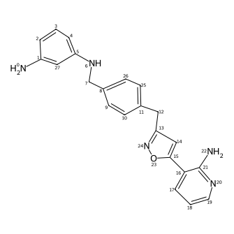 Nc1cccc(NCc2ccc(Cc3cc(-c4cccnc4N)on3)cc2)c1